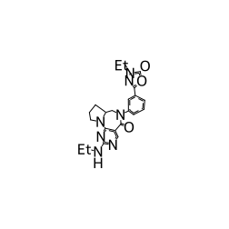 CCNc1ncc2c(n1)N1CCCC1CN(c1cccc(-c3nn(CC)c(=O)o3)c1)C2=O